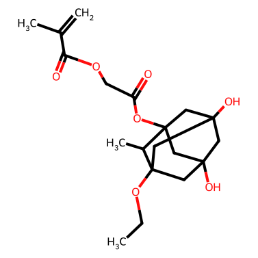 C=C(C)C(=O)OCC(=O)OC12CC3(O)CC(O)(CC(OCC)(C3)C1C)C2